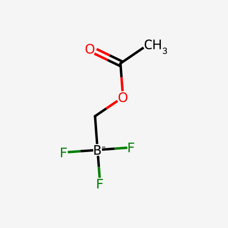 CC(=O)OC[B-](F)(F)F